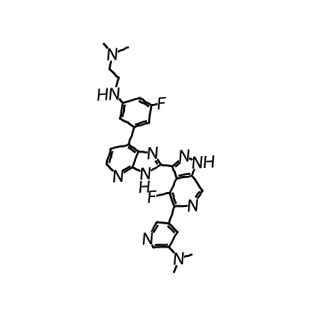 CN(C)CCNc1cc(F)cc(-c2ccnc3[nH]c(-c4n[nH]c5cnc(-c6cncc(N(C)C)c6)c(F)c45)nc23)c1